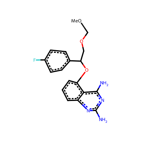 COCOCC(Oc1cccc2nc(N)nc(N)c12)c1ccc(F)cc1